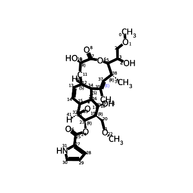 COCC(O)C1OC(=O)[C@H](O)C[C@H]2C=CC3C4[C@H](O)[C@@H](COC)[C@@H](OC(=O)c5ccc[nH]5)[C@@H]3O[C@]42/C(C)=C/[C@H]1C